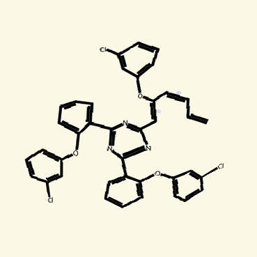 C=C/C=C\C(=C\c1nc(-c2ccccc2Oc2cccc(Cl)c2)nc(-c2ccccc2Oc2cccc(Cl)c2)n1)Oc1cccc(Cl)c1